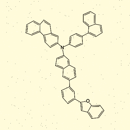 c1cc(-c2ccc3cc(N(c4ccc(-c5cccc6ccccc56)cc4)c4ccc5c(ccc6ccccc65)c4)ccc3c2)cc(-c2cc3ccccc3o2)c1